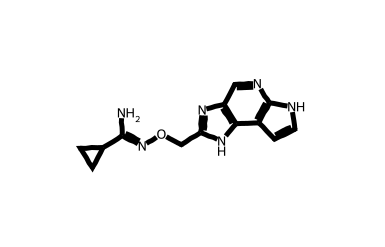 N/C(=N\OCc1nc2cnc3[nH]ccc3c2[nH]1)C1CC1